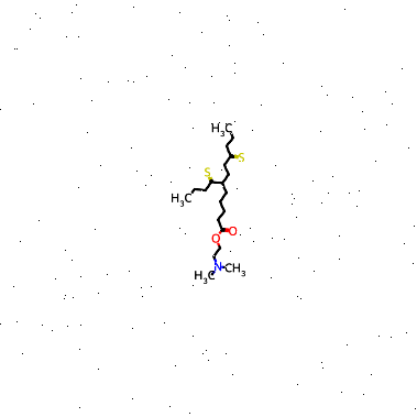 CCCC(=S)CCC(CCCCC(=O)OCCN(C)C)C(=S)CCC